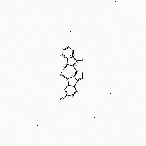 O=C1c2cc(Br)ccc2-c2csc(N3C(=O)c4ccccc4C3=O)c21